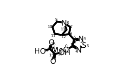 COc1nsnc1C1CN2CCCC1C2.O=C(O)C(=O)O